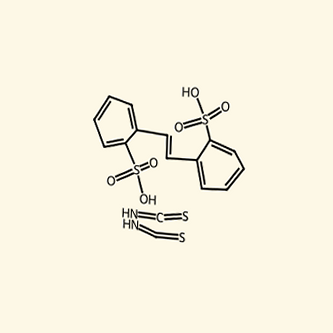 N=C=S.N=C=S.O=S(=O)(O)c1ccccc1C=Cc1ccccc1S(=O)(=O)O